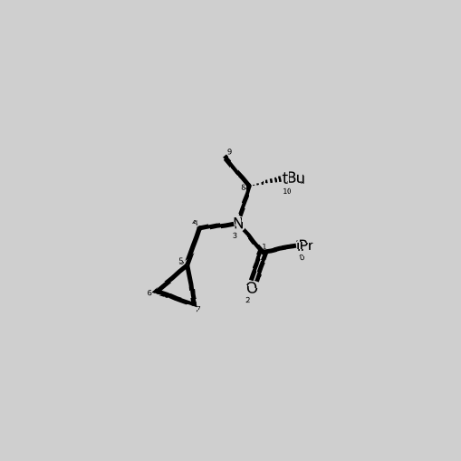 CC(C)C(=O)N(CC1CC1)[C@H](C)C(C)(C)C